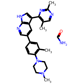 Cc1ncc(C)c(-c2c[nH]c3ncc(-c4ccc(N5CCN(C)CC5)c(C)c4)cc23)n1.NC=O